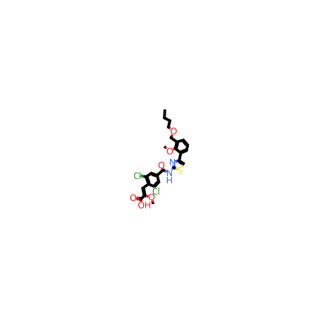 CCCCOCc1cccc(-c2csc(NC(=O)c3cc(Cl)c(C=C(OC)C(=O)O)c(Cl)c3)n2)c1OC